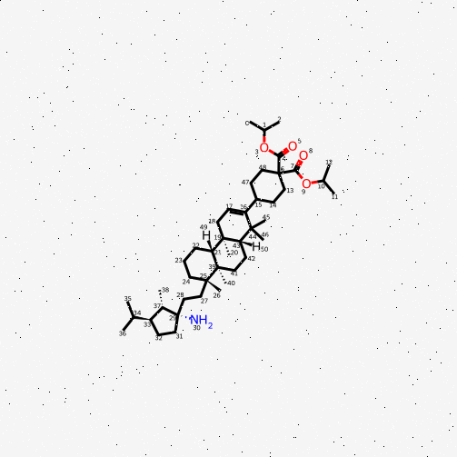 CC(C)OC(=O)C1(C(=O)OC(C)C)CCC(C2=CC[C@]3(C)[C@H]4CCC[C@@](C)(CC[C@@]5(N)CC[C@@H](C(C)C)[C@@H]5C)[C@]4(C)CC[C@H]3C2(C)C)CC1